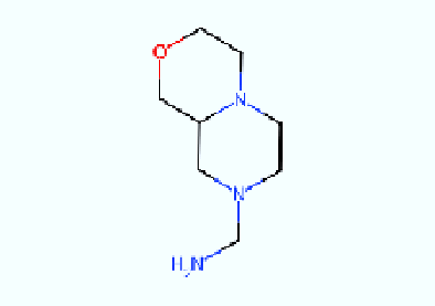 NCN1CCN2CCOCC2C1